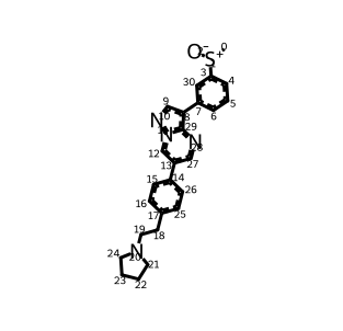 C[S+]([O-])c1cccc(-c2cnn3cc(-c4ccc(CCN5CCCC5)cc4)cnc23)c1